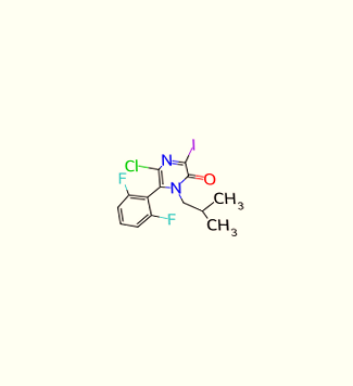 CC(C)Cn1c(-c2c(F)cccc2F)c(Cl)nc(I)c1=O